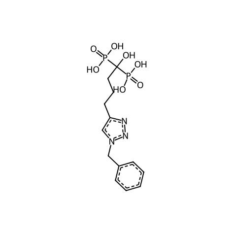 O=P(O)(O)C(O)(CCCc1cn(Cc2ccccc2)nn1)P(=O)(O)O